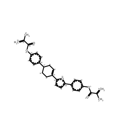 C=C(C)C(=O)Oc1ccc(-c2ccc(C3=CCC(c4ccc(OC(=O)C(=C)C)cc4)CC3)o2)cc1